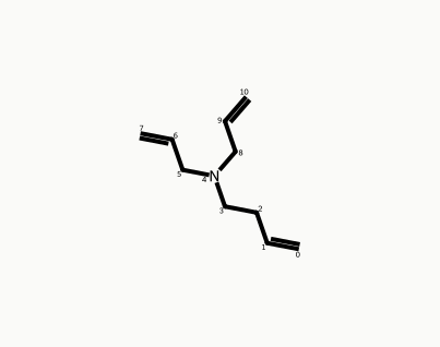 C=CCCN(CC=C)CC=C